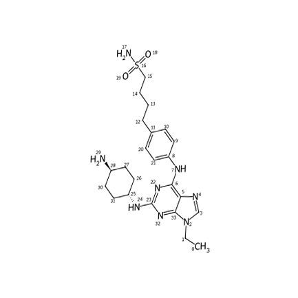 CCn1cnc2c(Nc3ccc(CCCCS(N)(=O)=O)cc3)nc(N[C@H]3CC[C@H](N)CC3)nc21